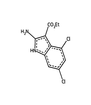 CCOC(=O)c1c(N)[nH]c2cc(Cl)cc(Cl)c12